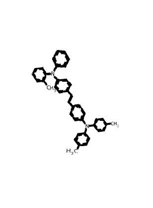 Cc1ccc(N(c2ccc(C)cc2)c2ccc(/C=C/c3ccc(N(c4ccccc4)c4ccccc4C)cc3)cc2)cc1